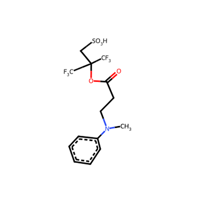 CN(CCC(=O)OC(CS(=O)(=O)O)(C(F)(F)F)C(F)(F)F)c1ccccc1